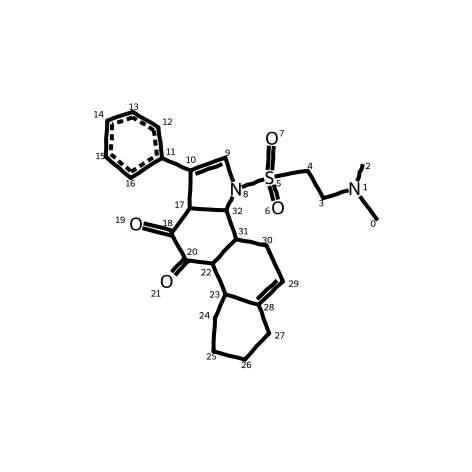 CN(C)CCS(=O)(=O)N1C=C(c2ccccc2)C2C(=O)C(=O)C3C4CCCCC4=CCC3C21